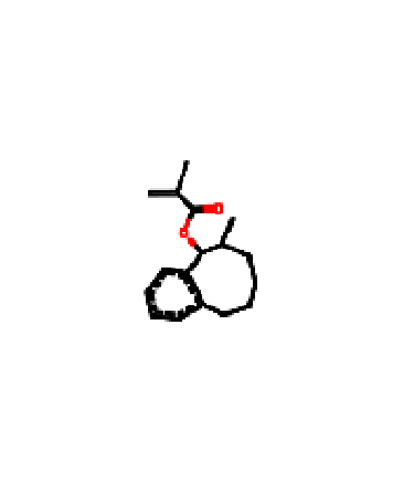 C=C(C)C(=O)OC1c2ccccc2CCCCC1C